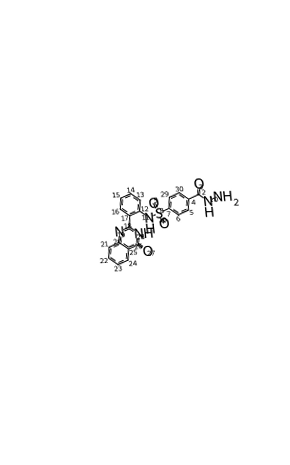 NNC(=O)c1ccc(S(=O)(=O)Nc2ccccc2-c2nc3ccccc3c(=O)[nH]2)cc1